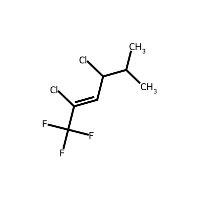 CC(C)C(Cl)/C=C(\Cl)C(F)(F)F